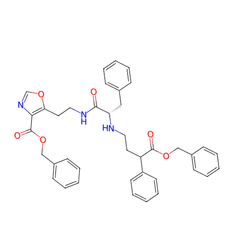 O=C(OCc1ccccc1)c1ncoc1CCNC(=O)[C@H](Cc1ccccc1)NCCC(C(=O)OCc1ccccc1)c1ccccc1